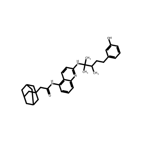 CC(CCc1cccc(O)c1)C(C)(C)Nc1ccc2c(NC(=O)CC34CC5CC(CC(C5)C3)C4)cccc2n1